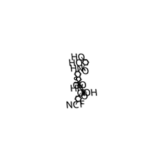 N#Cc1ccc(OP(=O)(O)CNS(=O)(=O)c2cc3cc(NC(=O)c4cccc(O)c4O)ccc3s2)cc1F